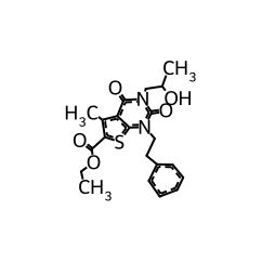 CCOC(=O)c1sc2c(c1C)c(=O)n(CC(C)O)c(=O)n2CCc1ccccc1